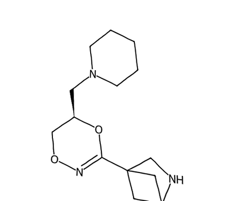 C1CCN(C[C@@H]2CON=C(C34CNC(C3)C4)O2)CC1